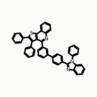 c1ccc(-c2sc3c(c(-c4cccc(-c5ccc(-c6nc7ccccc7n6-c6ccccc6)cc5)c4)nc4ccccc43)c2-c2ccccc2)cc1